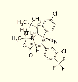 CC(C)(C)C[C@@H]1N2[C@@H](C(=O)OC2(C)C)[C@H](c2ccc(C(F)(F)F)c(Cl)c2)[C@@]1(C#N)c1ccc(Cl)cc1F